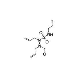 C=CCNS(=O)(=O)N(CC=C)N(C=O)CC=C